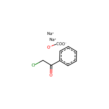 O=C(CCl)c1ccccc1.O=C([O-])[O-].[Na+].[Na+]